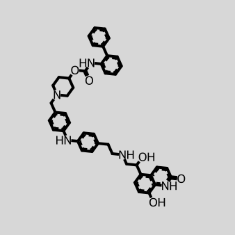 O=C(Nc1ccccc1-c1ccccc1)OC1CCN(Cc2ccc(Nc3ccc(CCNCC(O)c4ccc(O)c5[nH]c(=O)ccc45)cc3)cc2)CC1